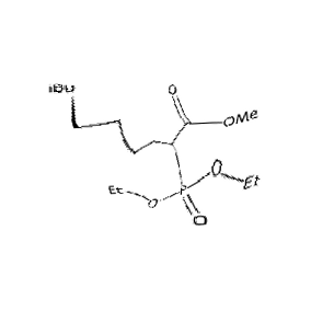 CCOP(=O)(OCC)C(CCC[C@H](C)CC)C(=O)OC